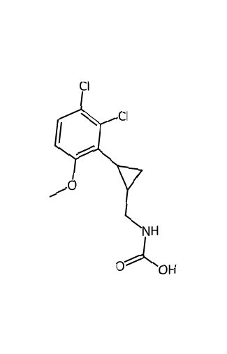 COc1ccc(Cl)c(Cl)c1C1CC1CNC(=O)O